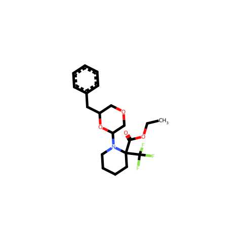 CCOC(=O)C1(C(F)(F)F)C[CH]CCN1C1COCC(Cc2ccccc2)O1